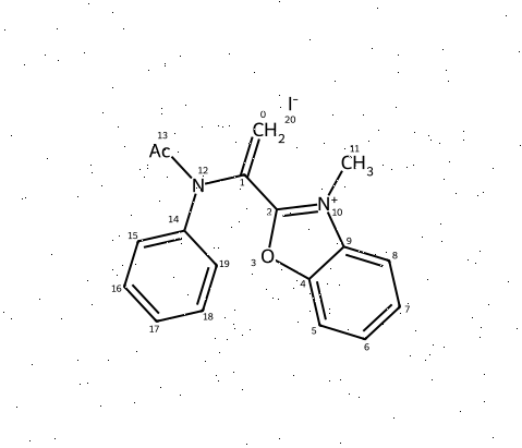 C=C(c1oc2ccccc2[n+]1C)N(C(C)=O)c1ccccc1.[I-]